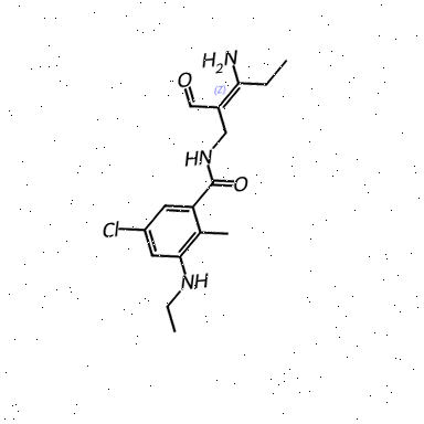 CCNc1cc(Cl)cc(C(=O)NC/C(C=O)=C(/N)CC)c1C